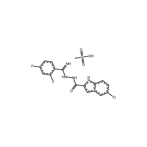 CS(=O)(=O)O.N=C(NNC(=O)c1cc2cc(Cl)ccc2[nH]1)c1ccc(F)cc1F